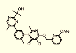 COc1cccc(COc2nc(C)n(-c3cc(-c4nc(C(C)(C)O)ncc4C)ccc3C)c(=O)c2Cl)n1